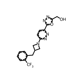 OCc1nnc(-c2ccc(N3CC(Cc4ccccc4C(F)(F)F)C3)nn2)o1